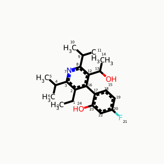 CCc1c(C(C)C)nc(C(C)C)c(C(C)O)c1-c1ccc(F)cc1O